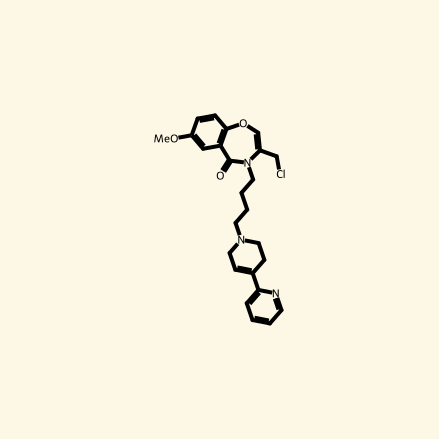 COc1ccc2c(c1)C(=O)N(CCCCN1CC=C(c3ccccn3)CC1)C(CCl)=CO2